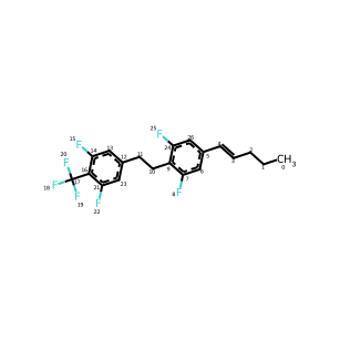 CCCC=Cc1cc(F)c(CCc2cc(F)c(C(F)(F)F)c(F)c2)c(F)c1